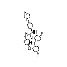 CN1CCN(c2ccc(Nc3ncc4ccc(=O)n(C(c5ccc(F)cc5)c5ccc(F)cc5)c4n3)cc2)CC1